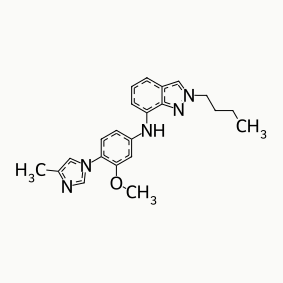 CCCCn1cc2cccc(Nc3ccc(-n4cnc(C)c4)c(OC)c3)c2n1